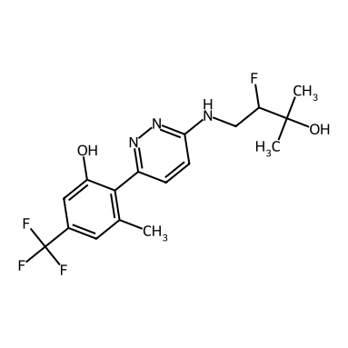 Cc1cc(C(F)(F)F)cc(O)c1-c1ccc(NCC(F)C(C)(C)O)nn1